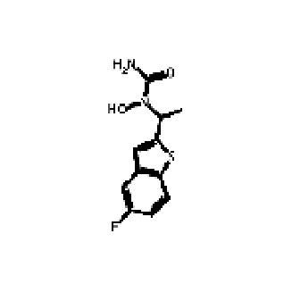 CC(c1cc2cc(F)ccc2s1)N(O)C(N)=O